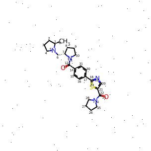 C[C@@H]1CCCN1C[C@@H]1CCCN1C(=O)c1ccc(-c2ncc(C(=O)N3CCCC3)s2)cc1